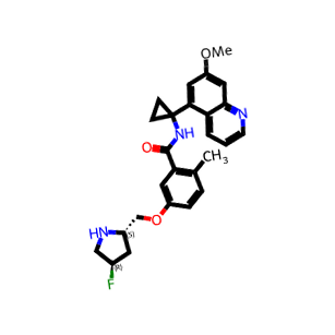 COc1cc(C2(NC(=O)c3cc(OC[C@@H]4C[C@@H](F)CN4)ccc3C)CC2)c2cccnc2c1